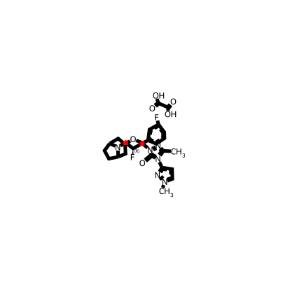 Cc1nn(C[C@H](F)CN2C3CCC2CC(OCc2cccc(F)c2)C3)c(=O)n1-c1ccn(C)n1.O=C(O)C(=O)O